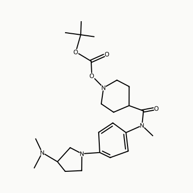 CN(C(=O)C1CCN(OC(=O)OC(C)(C)C)CC1)c1ccc(N2CCC(N(C)C)C2)cc1